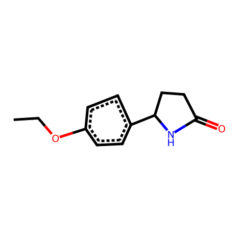 CCOc1ccc(C2CCC(=O)N2)cc1